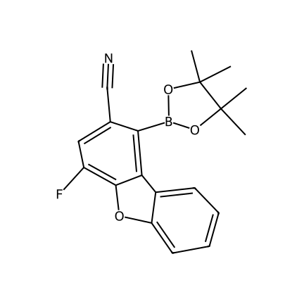 CC1(C)OB(c2c(C#N)cc(F)c3oc4ccccc4c23)OC1(C)C